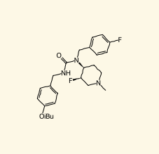 CC(C)COc1ccc(CNC(=O)N(Cc2ccc(F)cc2)[C@H]2CCN(C)C[C@H]2F)cc1